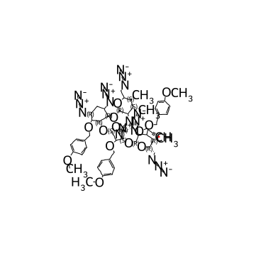 C#CCOC[C@H]1O[C@@H](O[C@@H]2C(OCc3ccc(OC)cc3)[C@H](N=[N+]=[N-])CC(N=[N+]=[N-])[C@H]2O[C@H]2OC(CN=[N+]=[N-])[C@@H](C)[C@H](C)C2N=[N+]=[N-])C(OCc2ccc(OC)cc2)[C@H]1O[C@H]1O[C@@H](CN=[N+]=[N-])[C@@H](C)C(OCc2ccc(OC)cc2)C1N=[N+]=[N-]